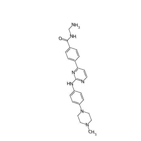 CN1CCN(c2ccc(Nc3nccc(-c4ccc(C(=O)NCN)cc4)n3)cc2)CC1